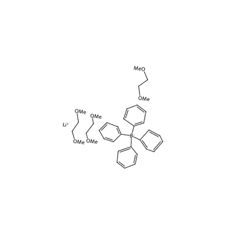 COCCOC.COCCOC.COCCOC.[Li+].c1ccc([B-](c2ccccc2)(c2ccccc2)c2ccccc2)cc1